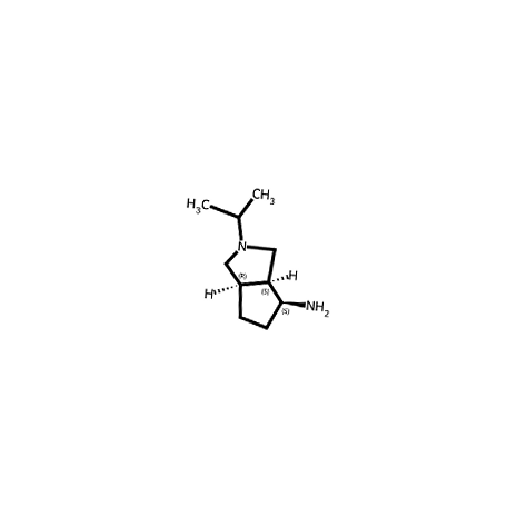 CC(C)N1C[C@@H]2CC[C@H](N)[C@@H]2C1